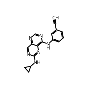 C#Cc1cccc(Nc2ncnc3cnc(NC4CC4)nc23)c1